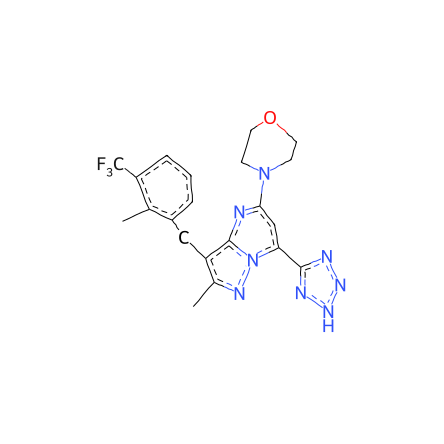 Cc1nn2c(-c3nn[nH]n3)cc(N3CCOCC3)nc2c1Cc1cccc(C(F)(F)F)c1C